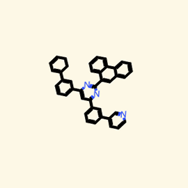 C1=CCCC(c2cccc(-c3cc(-c4cccc(-c5cccnc5)c4)nc(-c4cc5ccccc5c5ccccc45)n3)c2)=C1